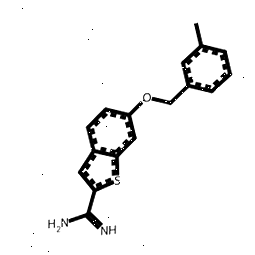 Cc1cccc(COc2ccc3cc(C(=N)N)sc3c2)c1